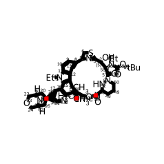 CCO[C@@H]1C2=NC(CS2)c2ccc3c(c2)c(c(-c2cc(C4C[C@@H]5COC[C@@H](C4)N5C4CC4)cnc2[C@H](C)OC)n3CC)CC(C)(C)COC(=O)[C@@H]2CCCN(N2)C(=O)[C@H]1NC(=O)OC(C)(C)C